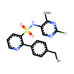 COc1nc(Cl)ncc1NS(=O)(=O)c1cccnc1-c1ccc(CC(C)C)cc1